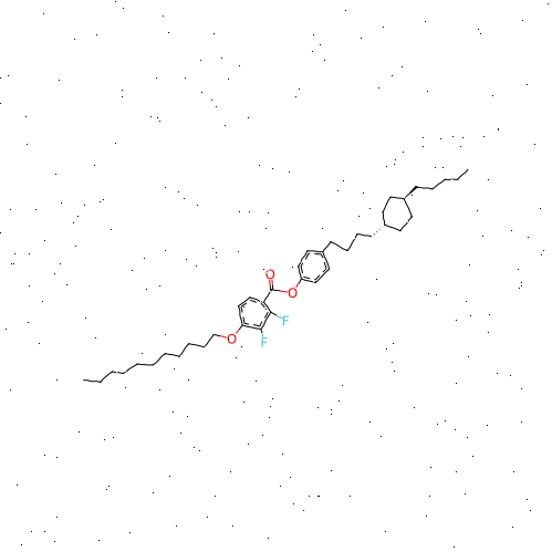 CCCCCCCCCCCOc1ccc(C(=O)Oc2ccc(CCCC[C@H]3CC[C@H](CCCCC)CC3)cc2)c(F)c1F